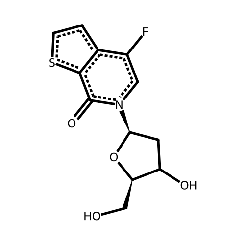 O=c1c2sccc2c(F)cn1[C@H]1CC(O)[C@@H](CO)O1